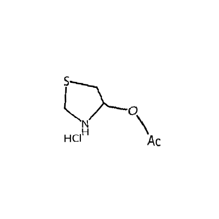 CC(=O)OC1CSCN1.Cl